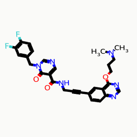 CN(C)CCCOc1ncnc2ccc(C#CCNC(=O)c3cncn(Cc4ccc(F)c(F)c4)c3=O)cc12